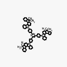 CC1(C)c2ccccc2-c2c1ccc1c2c2ccccc2n1-c1ccc(-c2cc(-c3ccc(-n4c5ccccc5c5c6c(ccc54)C(C)(C)c4ccccc4-6)cc3)nc(-c3ccc(-n4c5ccccc5c5c6c(ccc54)C(C)(C)c4ccccc4-6)cc3)n2)cc1